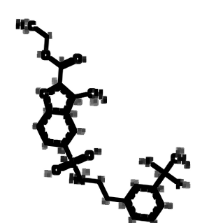 CCOC(=O)c1oc2ccc(S(=O)(=O)NCCc3cccc(C(C)(F)F)c3)cc2c1C